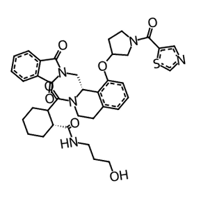 O=C(NCCCO)[C@@H]1CCCCC1C(=O)N1CCc2cccc(OC3CCN(C(=O)c4cncs4)C3)c2[C@H]1CN1C(=O)c2ccccc2C1=O